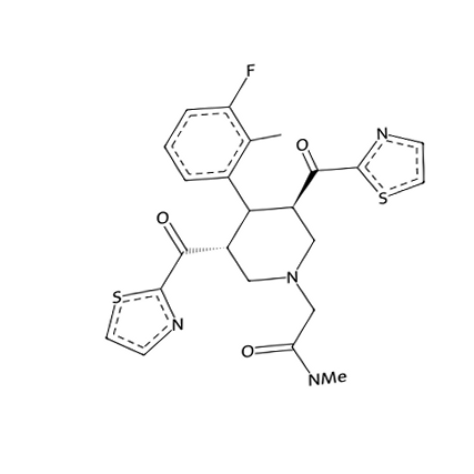 CNC(=O)CN1C[C@H](C(=O)c2nccs2)C(c2cccc(F)c2C)[C@@H](C(=O)c2nccs2)C1